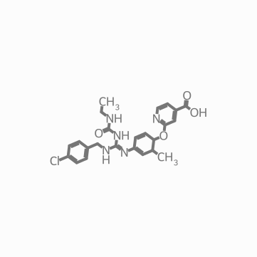 CCNC(=O)N/C(=N\C1=CC(C)C(Oc2cc(C(=O)O)ccn2)C=C1)NCc1ccc(Cl)cc1